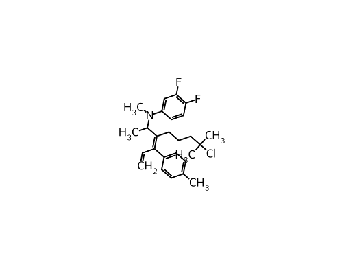 C=C/C(=C(/CCCC(C)(C)Cl)C(C)N(C)c1ccc(F)c(F)c1)c1ccc(C)cc1